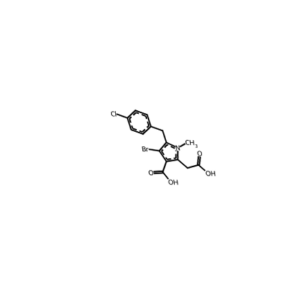 Cn1c(Cc2ccc(Cl)cc2)c(Br)c(C(=O)O)c1CC(=O)O